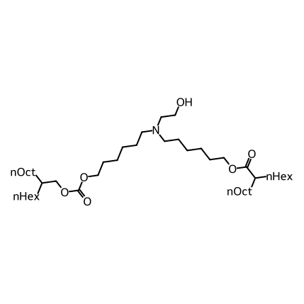 CCCCCCCCC(CCCCCC)COC(=O)OCCCCCCN(CCO)CCCCCCOC(=O)C(CCCCCC)CCCCCCCC